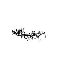 CC(N)(CN1CC(Oc2ccc3c(c2C(=O)O)O[B-](O)(O)[C@@H]2C[C@H]32)C1)C(=O)NCCN